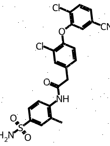 Cc1cc(S(N)(=O)=O)ccc1NC(=O)Cc1ccc(Oc2cc(C#N)ccc2Cl)c(Cl)c1